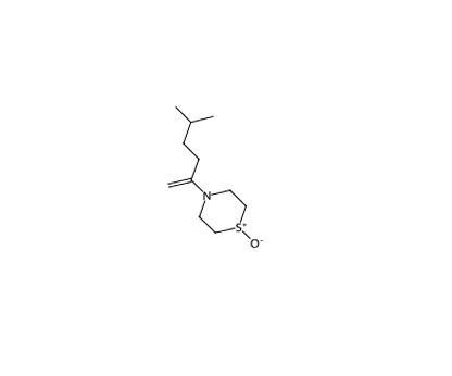 C=C(CCC(C)C)N1CC[S+]([O-])CC1